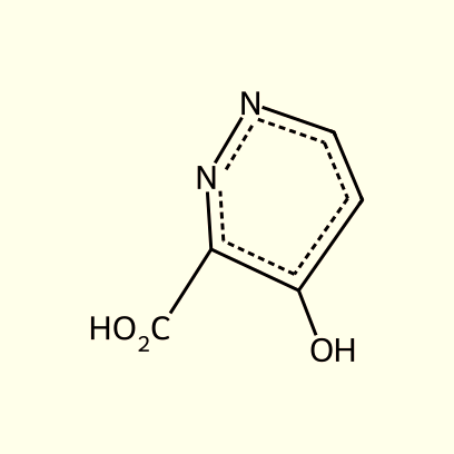 O=C(O)c1nnccc1O